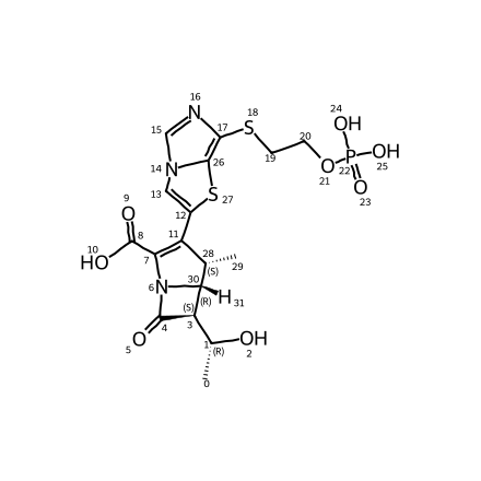 C[C@@H](O)[C@H]1C(=O)N2C(C(=O)O)=C(c3cn4cnc(SCCOP(=O)(O)O)c4s3)[C@H](C)[C@H]12